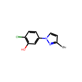 CC(C)(C)c1ccn(-c2ccc(Cl)c(O)c2)n1